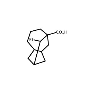 CCC1C2CC3CCCC1(C(=O)O)CC3C2